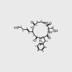 O=C1CC(/C=C/CCS)OC(=O)CCNC(=O)C(CS)NC(=O)C(Cc2ccccc2)N1